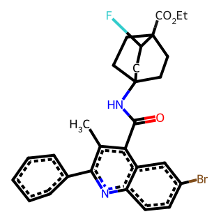 CCOC(=O)C12CCC(NC(=O)c3c(C)c(-c4ccccc4)nc4ccc(Br)cc34)(CC1)CC2F